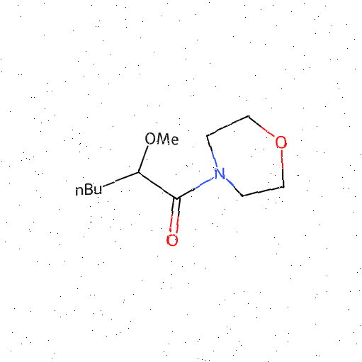 CCCCC(OC)C(=O)N1CCOCC1